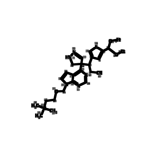 CCOC(OCC)c1cc(C(CC#N)C2(c3ncnc4c3ccn4COCC[Si](C)(C)C)C=NNC2)cs1